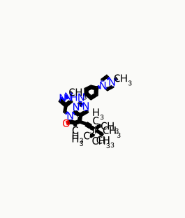 Cc1c(C#C[Si](C(C)C)(C(C)C)C(C)C)c2cnc(Nc3ccc(N4CCN(C)CC4)cc3)nc2n(Cc2cnn(C)c2)c1=O